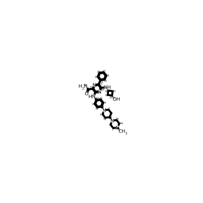 CN1CCN(C2CCN(c3ccc(Nc4nc(N[C@H]5C[C@@H](O)C5)c(-c5ccccc5)nc4C(N)=O)cc3)CC2)CC1